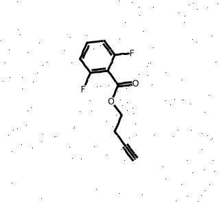 C#CCCOC(=O)c1c(F)cccc1F